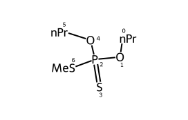 CCCOP(=S)(OCCC)SC